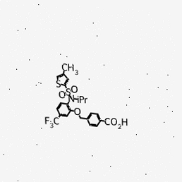 Cc1csc(S(=O)(=O)N(c2ccc(C(F)(F)F)cc2OCc2ccc(C(=O)O)cc2)C(C)C)c1